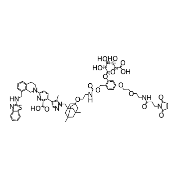 Cc1c(-c2ccc(N3CCc4cccc(CNc5nc6ccccc6s5)c4C3)nc2C(=O)O)cnn1CC12CC3(C)CC(C)(C1)CC(OCCNC(=O)OCc1ccc(OCCOCCNC(=O)CCN4C(=O)C=CC4=O)cc1O[C@@H]1O[C@H](C(=O)O)[C@@H](O)[C@H](O)[C@H]1O)(C3)C2